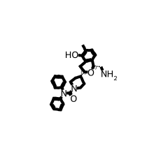 Cc1ccc2c(c1O)C[C@@H](C1CCN(C(=O)N(c3ccccc3)c3ccccc3)CC1)O[C@H]2CN